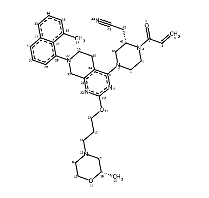 C=CC(=O)N1CCN(c2nc(OCCCN3CCO[C@@H](C)C3)nc3c2CCN(c2cccc4cccc(C)c24)C3)C[C@@H]1CC#N